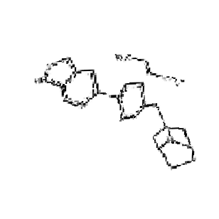 CN1C2CCC1CC(Oc1ccc(-c3ccc4[nH]ncc4c3)nn1)C2.O=C(O)/C=C/C(=O)O